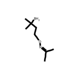 BC(C)(C)CCON=C(C)C